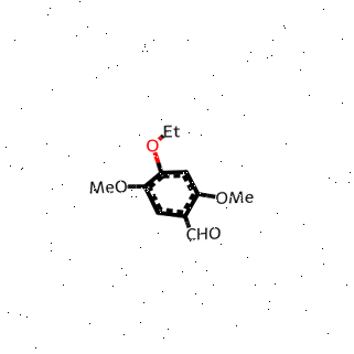 CCOc1cc(OC)c(C=O)cc1OC